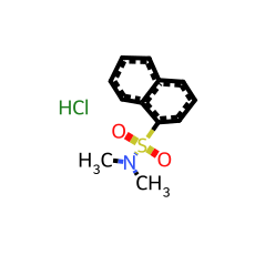 CN(C)S(=O)(=O)c1cccc2ccccc12.Cl